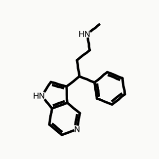 CNCCC(c1ccccc1)c1c[nH]c2ccncc12